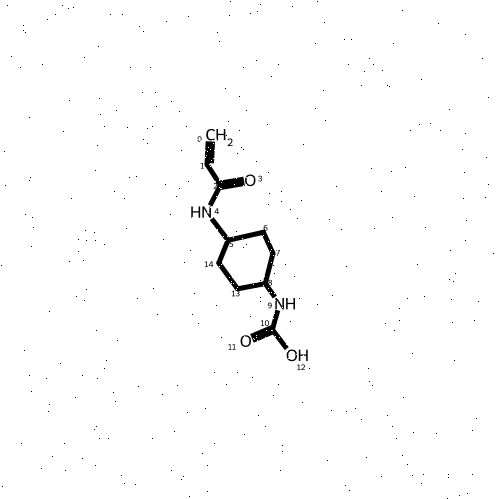 C=CC(=O)NC1CCC(NC(=O)O)CC1